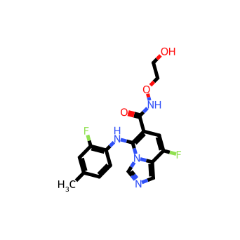 Cc1ccc(Nc2c(C(=O)NOCCO)cc(F)c3cncn23)c(F)c1